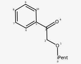 CCCC(C)OCC(=O)c1ccccc1